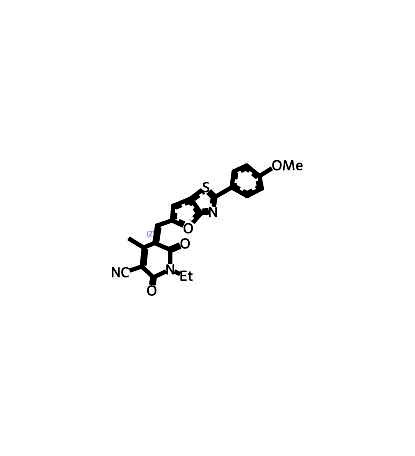 CCN1C(=O)C(C#N)=C(C)/C(=C/c2cc3sc(-c4ccc(OC)cc4)nc3o2)C1=O